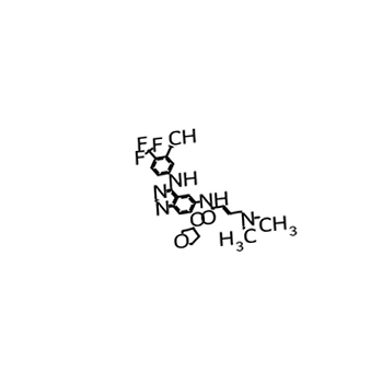 C#Cc1cc(Nc2ncnc3cc(OC4CCOC4)c(NC(=O)C=CCN(CC)CC)cc23)ccc1C(F)(F)F